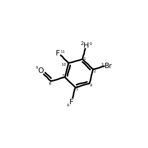 [2H]c1c(Br)cc(F)c(C=O)c1F